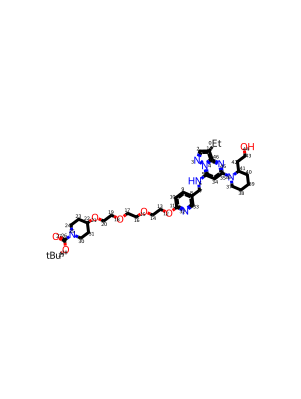 CCc1cnn2c(NCc3ccc(OCCOCCOCCOC4CCN(C(=O)OC(C)(C)C)CC4)nc3)cc(N3CCCCC3CCO)nc12